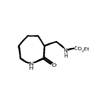 CCOC(=O)NCC1CCCCNC1=O